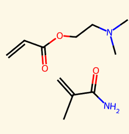 C=C(C)C(N)=O.C=CC(=O)OCCN(C)C